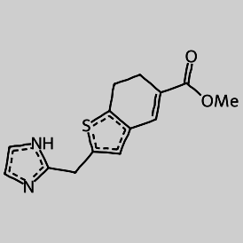 COC(=O)C1=Cc2cc(Cc3ncc[nH]3)sc2CC1